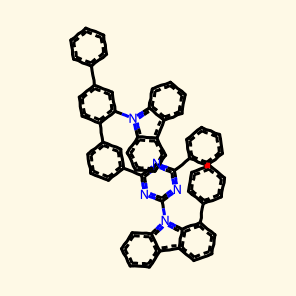 c1ccc(-c2ccc(-c3cccc(-c4nc(-c5ccccc5)nc(-n5c6ccccc6c6cccc(-c7ccccc7)c65)n4)c3)c(-n3c4ccccc4c4ccccc43)c2)cc1